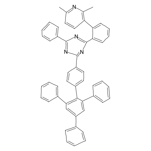 Cc1ccc(-c2ccccc2-c2nc(-c3ccccc3)nc(-c3ccc(-c4c(-c5ccccc5)cc(-c5ccccc5)cc4-c4ccccc4)cc3)n2)c(C)n1